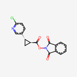 O=C(ON1C(=O)c2ccccc2C1=O)[C@H]1C[C@@H]1c1ccc(Cl)nc1